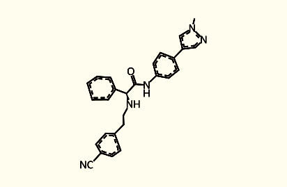 Cn1cc(-c2ccc(NC(=O)[C@@H](NCCc3ccc(C#N)cc3)c3ccccc3)cc2)cn1